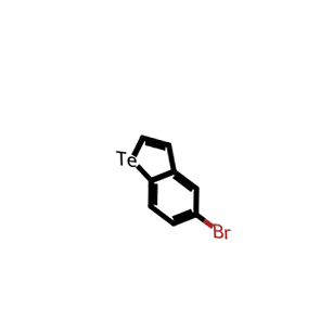 Brc1ccc2[te]ccc2c1